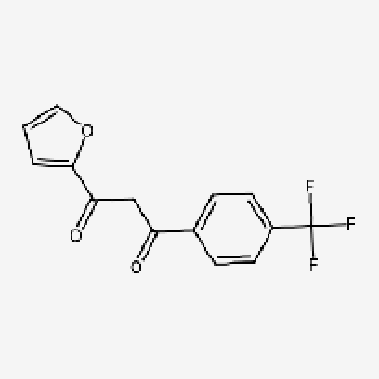 O=C(CC(=O)c1ccco1)c1ccc(C(F)(F)F)cc1